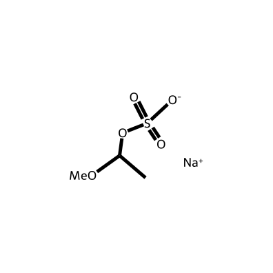 COC(C)OS(=O)(=O)[O-].[Na+]